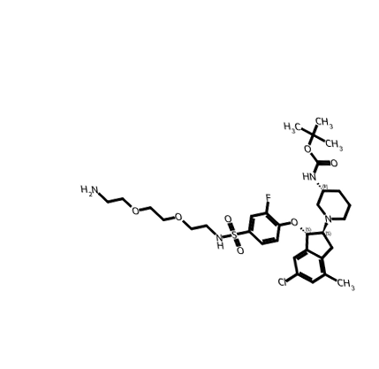 Cc1cc(Cl)cc2c1C[C@H](N1CCC[C@@H](NC(=O)OC(C)(C)C)C1)[C@H]2Oc1ccc(S(=O)(=O)NCCOCCOCCN)cc1F